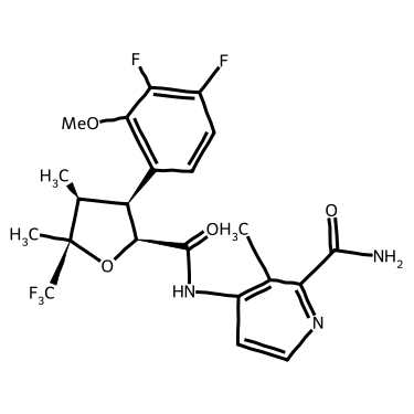 COc1c([C@H]2[C@@H](C(=O)Nc3ccnc(C(N)=O)c3C)O[C@@](C)(C(F)(F)F)[C@H]2C)ccc(F)c1F